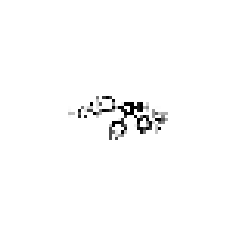 OC1CC2C=C(c3c[nH]c(-c4cccc(C(F)(F)F)c4)c3-c3ccncc3)CCN2C1